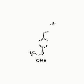 COC(C)Oc1ccc(C=CCBr)cc1